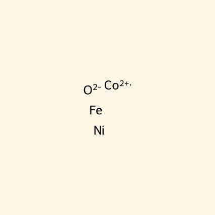 [Co+2].[Fe].[Ni].[O-2]